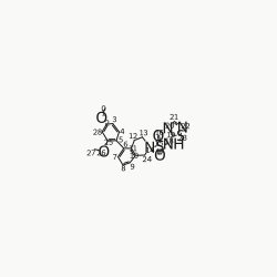 COc1ccc(-c2cccc3c2CCN(S(=O)(=O)Nc2ncns2)C3)c(OC)c1